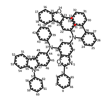 c1ccc(-c2nc3cc(N(c4ccc5oc6ccccc6c5c4)c4ccccc4-c4ccccc4)cc(N(c4ccccc4)c4ccc5c(c4)c4ccccc4n5-c4ccccc4)c3o2)cc1